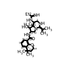 CCC(=N)NC1CNC(=C(C)C)N2CC(NC(=O)c3cccc4c3OCCC4(C)C)C(O)C12C